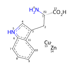 N[C@@H](Cc1c[nH]c2ccccc12)C(=O)O.[Cu].[Zn]